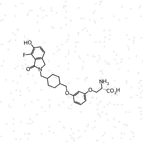 N[C@@H](COc1cccc(OCC2CCC(CN3Cc4ccc(O)c(F)c4C3=O)CC2)c1)C(=O)O